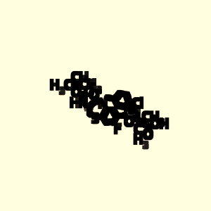 CC(C)(C)OC(=O)N[C@H]1CSc2cc(F)c(-c3nnc(C(C)(C)C(=O)O)o3)cc2N(Cc2ccc(Cl)cc2)C1=O